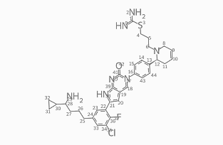 N=C(N)SCCCN1CC=CC[C@H]1c1ccc(-n2cc3cc(-c4cc(CCCC(N)C5CC5)cc(Cl)c4F)[nH]c3nc2=O)cc1